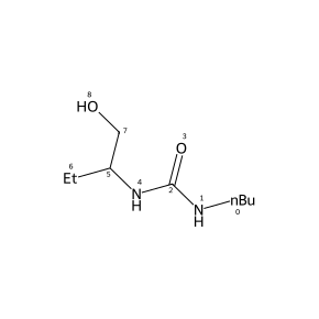 CCCCNC(=O)NC(CC)CO